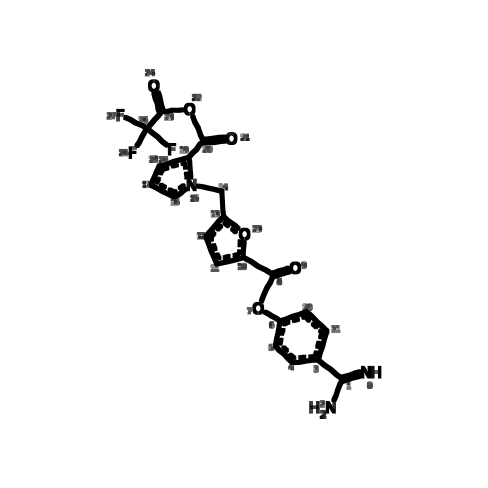 N=C(N)c1ccc(OC(=O)c2ccc(Cn3cccc3C(=O)OC(=O)C(F)(F)F)o2)cc1